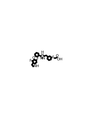 O=C(O)CSc1cccc(Cc2nnc(-c3cccc(Oc4c(F)cc5[nH]ccc5c4F)c3)[nH]2)c1